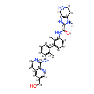 Cc1c(NC(=O)c2nc3c(n2C)CCNC3)cccc1-c1cccc(Nc2nccc3cc(CO)cnc23)c1C